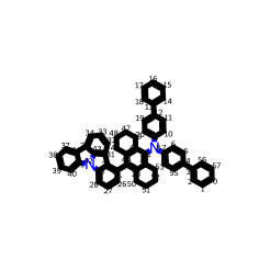 c1ccc(-c2ccc(N(c3ccc(-c4ccccc4)cc3)c3c4c(c(-c5cccc6c5c5cccc7c8ccccc8n6c75)c5c3CCCC5)CCCC4)cc2)cc1